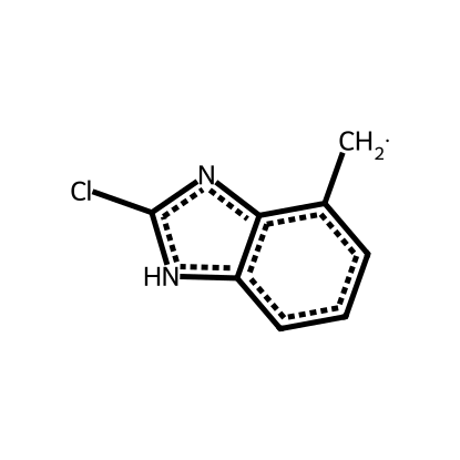 [CH2]c1cccc2[nH]c(Cl)nc12